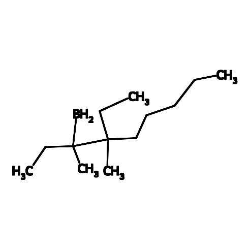 BC(C)(CC)C(C)(CC)CCCCC